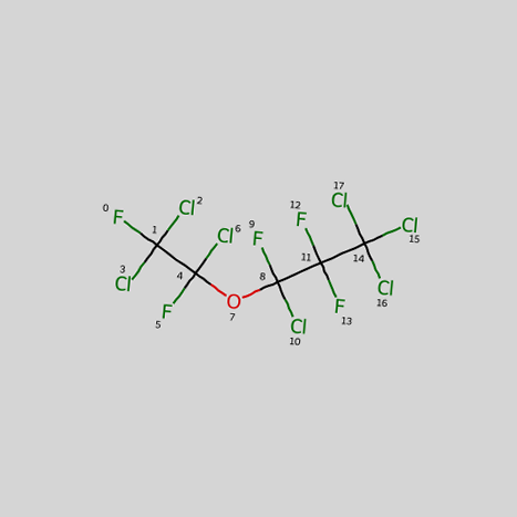 FC(Cl)(Cl)C(F)(Cl)OC(F)(Cl)C(F)(F)C(Cl)(Cl)Cl